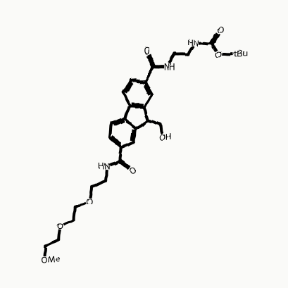 COCCOCCOCCNC(=O)c1ccc2c(c1)C(CO)c1cc(C(=O)NCCNC(=O)OC(C)(C)C)ccc1-2